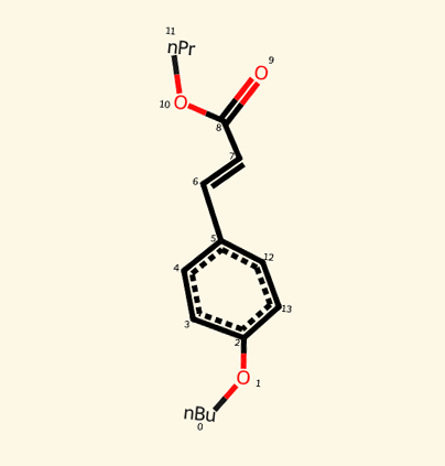 CCCCOc1ccc(C=CC(=O)OCCC)cc1